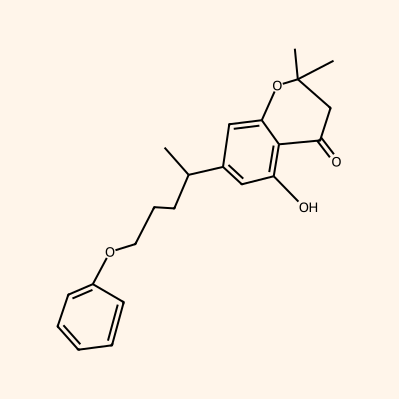 CC(CCCOc1ccccc1)c1cc(O)c2c(c1)OC(C)(C)CC2=O